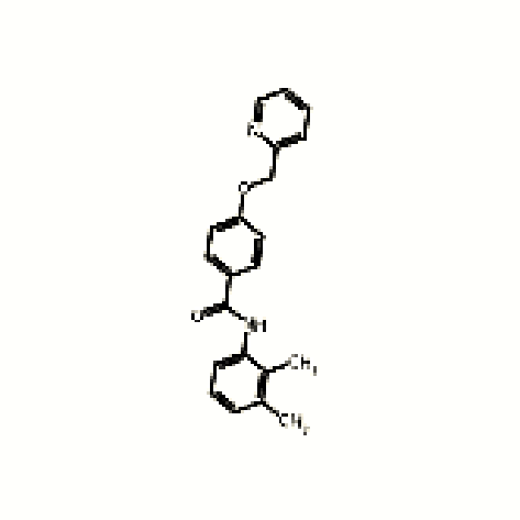 Cc1cccc(NC(=O)c2ccc(OCc3ccccn3)cc2)c1C